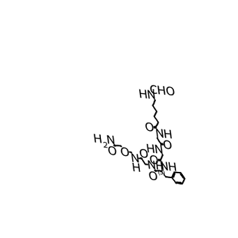 NC(=O)COCNC(=O)CNC(=O)[C@H](Cc1ccccc1)NC(=O)CNC(=O)CNC(=O)CCCCCNC=O